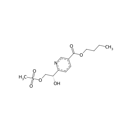 CCCCOC(=O)c1ccc([C@H](O)COS(C)(=O)=O)nc1